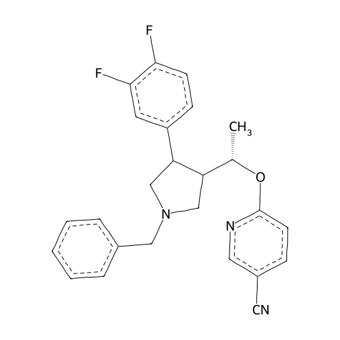 C[C@H](Oc1ccc(C#N)cn1)C1CN(Cc2ccccc2)CC1c1ccc(F)c(F)c1